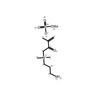 C=C(C)C(=O)C[N+](C)(C)CCCN.COS(=O)(=O)[O-]